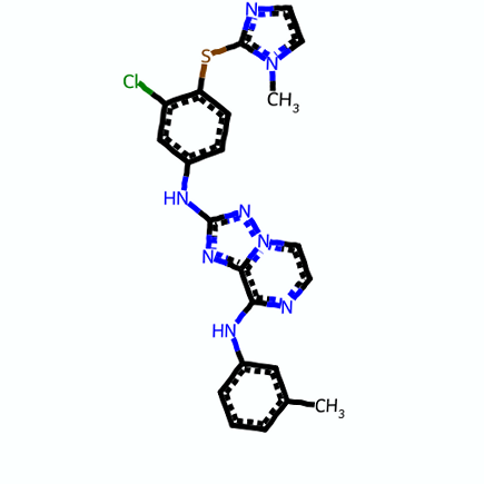 Cc1cccc(Nc2nccn3nc(Nc4ccc(Sc5nccn5C)c(Cl)c4)nc23)c1